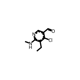 CCc1c(NC)ncc(C=O)c1Cl